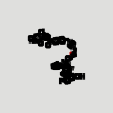 C#Cc1c(F)ccc2cc(O)cc(-c3ncc4c(N5CC6CCC(C5)N6)nc(OCC56CC(CN7CCN(CC8CCC9(CC8)CCN(C(=O)c8ccc(Cl)c(N%10CCC(=O)NC%10=O)c8)CC9)CC7)(C5)C6)nc4c3F)c12